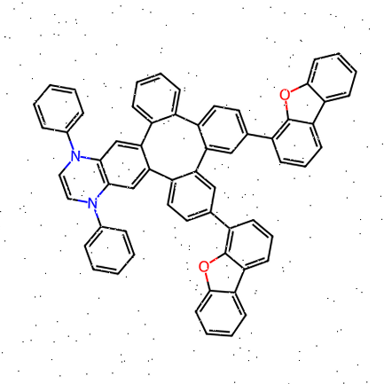 c1ccc(-n2ccn(-c3ccccc3)c3cc4c5ccc(-c6cccc7c6oc6ccccc67)cc5c5cc(-c6cccc7c6oc6ccccc67)ccc5c5ccccc5c4cc32)cc1